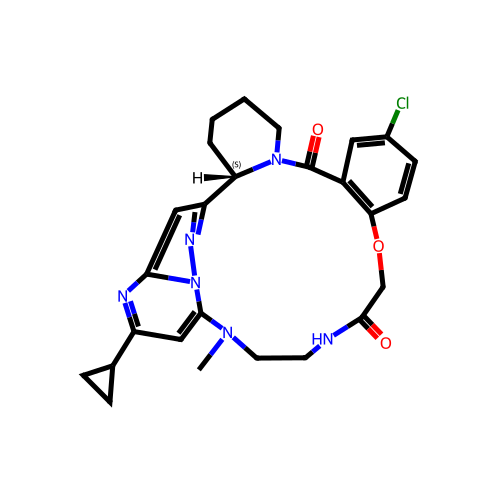 CN1CCNC(=O)COc2ccc(Cl)cc2C(=O)N2CCCC[C@H]2c2cc3nc(C4CC4)cc1n3n2